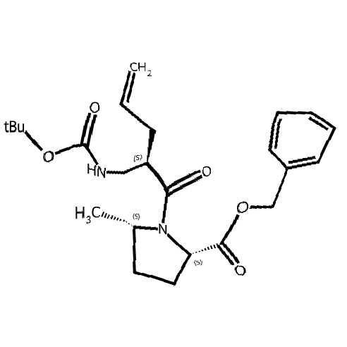 C=CC[C@H](NC(=O)OC(C)(C)C)C(=O)N1[C@@H](C)CC[C@H]1C(=O)OCc1ccccc1